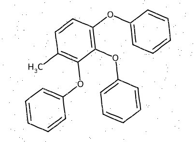 Cc1ccc(Oc2ccccc2)c(Oc2ccccc2)c1Oc1ccccc1